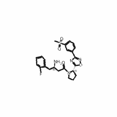 CS(=O)(=O)c1cccc(-c2noc([C@@H]3CCCN3C(=O)C[C@H](N)Cc3ccccc3F)n2)c1